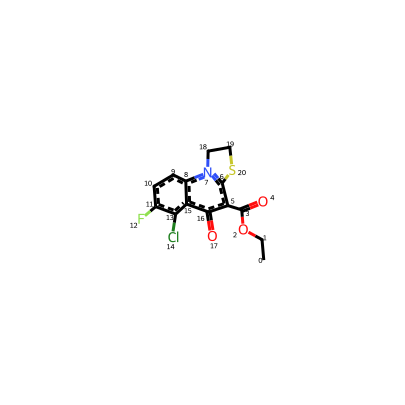 CCOC(=O)c1c2n(c3ccc(F)c(Cl)c3c1=O)CCS2